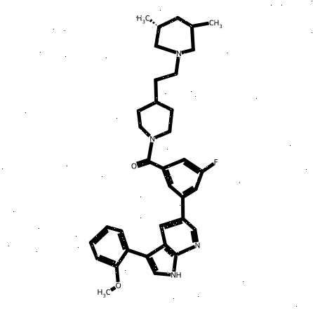 COc1ccccc1-c1c[nH]c2ncc(-c3cc(F)cc(C(=O)N4CCC(CCN5CC(C)C[C@@H](C)C5)CC4)c3)cc12